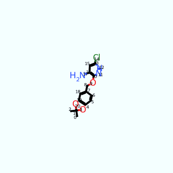 CC1(C)Oc2ccc(COc3nnc(Cl)cc3N)cc2O1